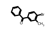 Cc1cc(C(=O)c2ccccc2)ccc1Br